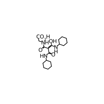 O=C(O)CNC(=O)/C(C(=O)NC1CCCCC1)=C(\O)NC1CCCCC1